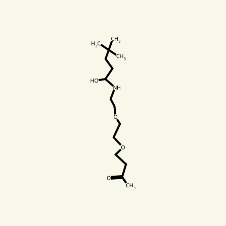 CC(=O)CCOCCOCCNC(O)CCC(C)(C)C